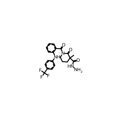 CC1(C(=O)NN)CCCN(C(=O)c2ccccc2Nc2ccc(C(F)(F)F)cc2)C1=O